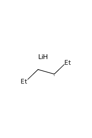 CC[CH]CCC.[LiH]